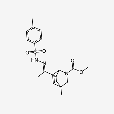 COC(=O)N1CC2(C)C=CC1C(/C(C)=N/NS(=O)(=O)c1ccc(C)cc1)C2